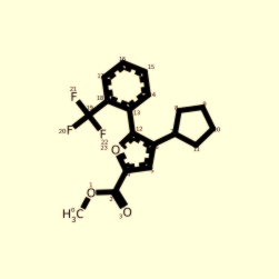 COC(=O)c1cc(C2CCCC2)c(-c2ccccc2C(F)(F)F)o1